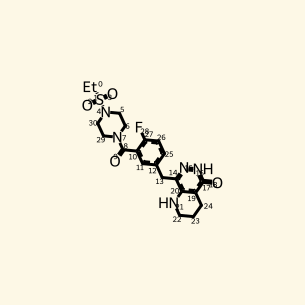 CCS(=O)(=O)N1CCN(C(=O)c2cc(Cc3n[nH]c(=O)c4c3NCCC4)ccc2F)CC1